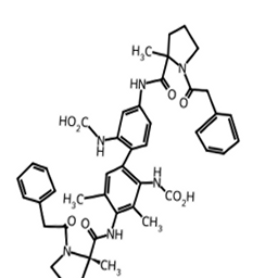 Cc1cc(-c2ccc(NC(=O)C3(C)CCCN3C(=O)Cc3ccccc3)cc2NC(=O)O)c(NC(=O)O)c(C)c1NC(=O)[C@]1(C)CCCN1C(=O)Cc1ccccc1